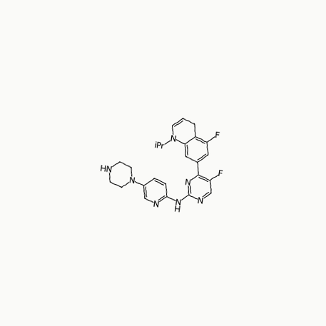 CC(C)N1C=CCc2c(F)cc(-c3nc(Nc4ccc(N5CCNCC5)cn4)ncc3F)cc21